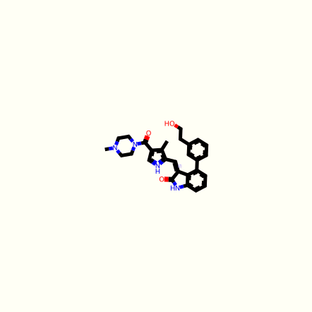 Cc1c(C(=O)N2CCN(C)CC2)c[nH]c1/C=C1\C(=O)Nc2cccc(-c3cccc(CCO)c3)c21